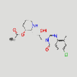 Cc1cc(Cl)cc2c(=O)n(C[C@@H](O)C[C@H]3NCCC[C@@H]3OC(=O)C(C)(C)C)cnc12